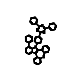 c1ccc(-c2nc(-c3ccccc3)nc(-c3ccc(-n4c5c(c6cccc(-c7ccccc7)c64)-c4ccccc4Sc4ccccc4-5)cc3)n2)cc1